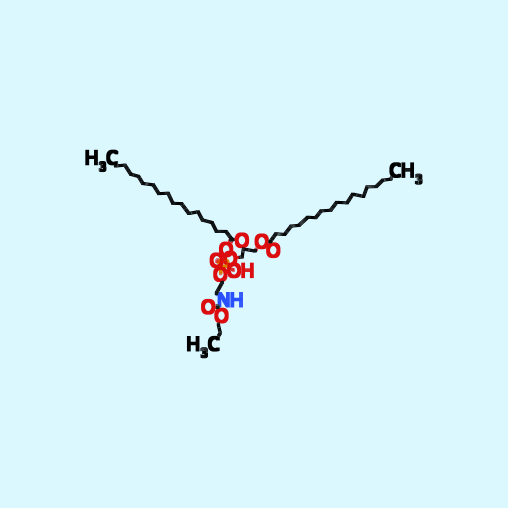 CCCCCCCCCCCCCCCCCC(=O)OCC(COP(=O)(O)OCCNC(=O)OCCC)OC(=O)CCCCCCCCCCCCCCCCC